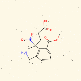 COC(=O)c1cccc(CN)c1C(C)(CCC(=O)O)[N+](=O)[O-]